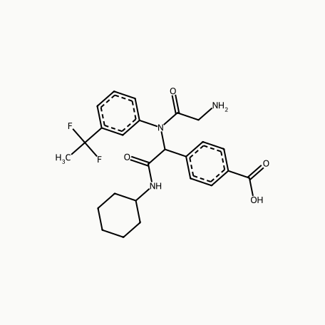 CC(F)(F)c1cccc(N(C(=O)CN)C(C(=O)NC2CCCCC2)c2ccc(C(=O)O)cc2)c1